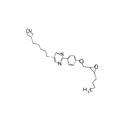 CCCCCCCCc1cnc(-c2ccc(OCC3OC3CCCC)cc2)nc1